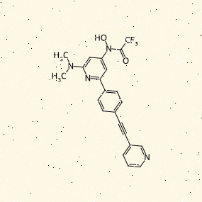 CN(C)c1cc(N(O)C(=O)C(F)(F)F)cc(-c2ccc(C#Cc3cccnc3)cc2)n1